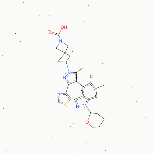 Cc1cc2c(cnn2C2CCCCO2)c(-c2c(-c3cscn3)nn(C3CC4(C3)CN(C(=O)O)C4)c2C)c1Cl